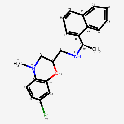 C[C@@H](NCC1CN(C)c2ccc(Br)cc2O1)c1cccc2ccccc12